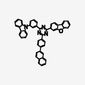 c1cc(-c2nc(-c3ccc(-c4ccc5ccccc5c4)cc3)nc(-c3ccc4c(c3)oc3ccccc34)n2)cc(-n2c3ccccc3c3ccccc32)c1